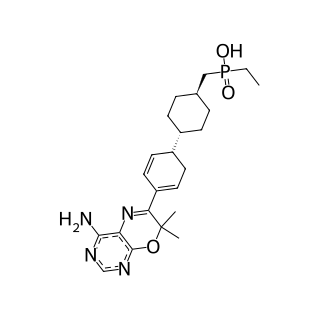 CCP(=O)(O)C[C@H]1CC[C@H](C2C=CC(C3=Nc4c(N)ncnc4OC3(C)C)=CC2)CC1